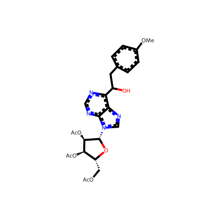 COc1ccc(CC(O)c2ncnc3c2ncn3[C@@H]2O[C@H](COC(C)=O)[C@@H](OC(C)=O)[C@H]2OC(C)=O)cc1